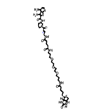 Nc1ccnc2sc(C(=O)NC3CCCN(C(=O)/C=C/CNC(=O)CCCC(=O)NCCCOCCOCCOCCCNC(=O)CCCC[C@H]4SC[C@@H]5NC(=O)N[C@@H]54)C3)c(N)c12